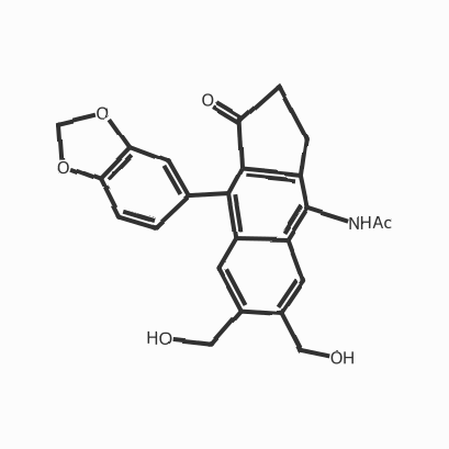 CC(=O)Nc1c2c(c(-c3ccc4c(c3)OCO4)c3cc(CO)c(CO)cc13)C(=O)CC2